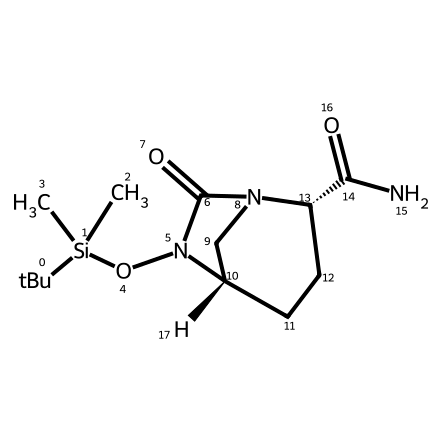 CC(C)(C)[Si](C)(C)ON1C(=O)N2C[C@@H]1CC[C@H]2C(N)=O